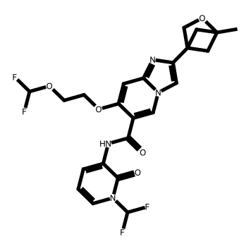 CC12CC(c3cn4cc(C(=O)Nc5cccn(C(F)F)c5=O)c(OCCOC(F)F)cc4n3)(CO1)C2